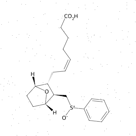 O=C(O)CCC/C=C\C[C@@H]1[C@@H](C[S+]([O-])c2ccccc2)[C@@H]2CC[C@H]1O2